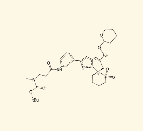 CN(CCC(=O)Nc1cccc(-c2ccc([C@@]3(CC(=O)NOC4CCCCO4)CCCCS3(=O)=O)s2)c1)C(=O)OC(C)(C)C